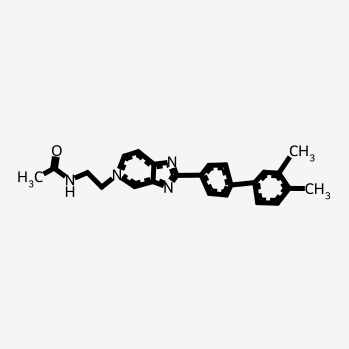 CC(=O)NCCn1ccc2nc(-c3ccc(-c4ccc(C)c(C)c4)cc3)nc-2c1